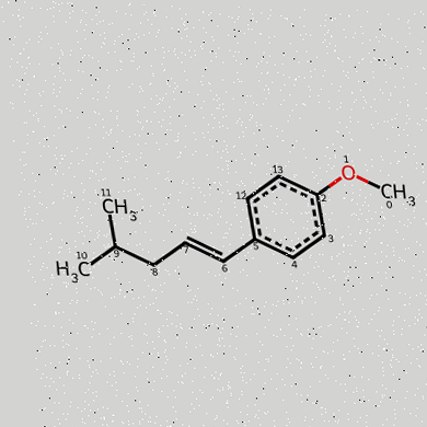 COc1ccc(C=CCC(C)C)cc1